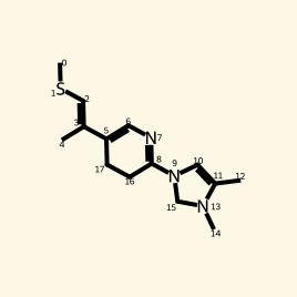 CS/C=C(\C)C1=CN=C(N2C=C(C)N(C)C2)CC1